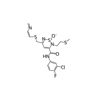 C=N/C=C\SCC1=N[S+]([O-])N(CCSC)C(C(=O)Nc2ccc(F)c(Cl)c2)=C1